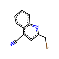 N#Cc1cc(CBr)nc2ccccc12